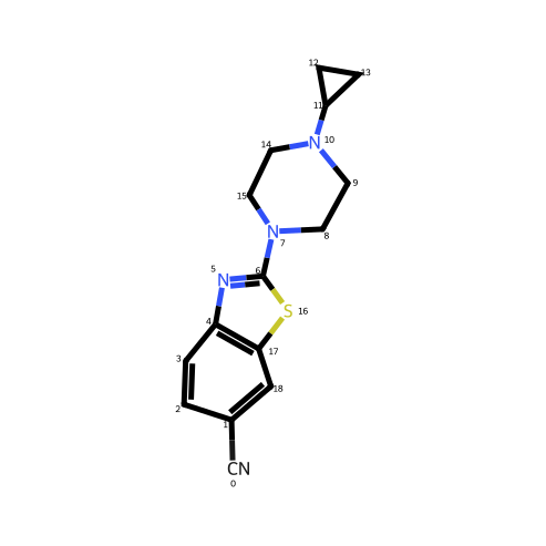 N#Cc1ccc2nc(N3CCN(C4CC4)CC3)sc2c1